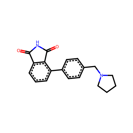 O=C1NC(=O)c2c1cccc2-c1ccc(CN2CCCC2)cc1